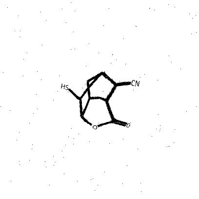 N#CC1C2CC3C(OC(=O)C13)C2S